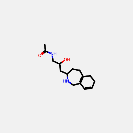 CC(=O)NCC(O)CC1CCC2=C(C=CCC2)CN1